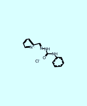 O=C(NN=CC1=CC=CC=[N+]1)Nc1ccccc1.[Cl-]